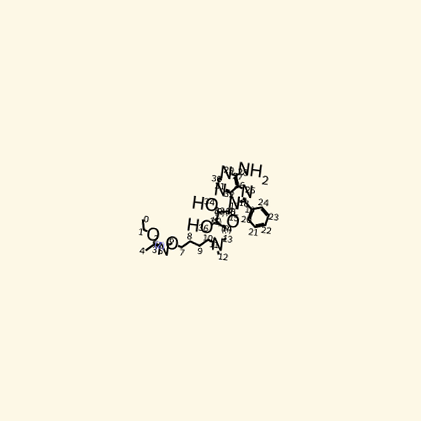 CCO/C(C)=N\OCCCCN(C)C[C@H]1O[C@@H](n2c(-c3ccccc3)nc3c(N)ncnc32)[C@H](O)[C@@H]1O